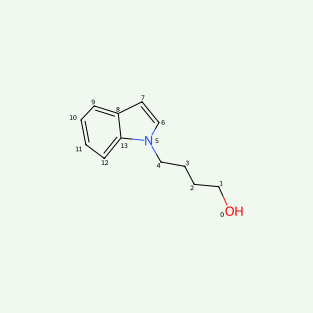 OCCCCn1ccc2ccccc21